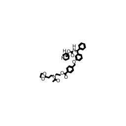 CC(=O)N(CCOC(=O)c1ccc(COc2cccc([C@@H](NC(=O)O[C@H]3CN4CCC3CC4)c3ccccc3)c2)cc1)CCC1OCCO1